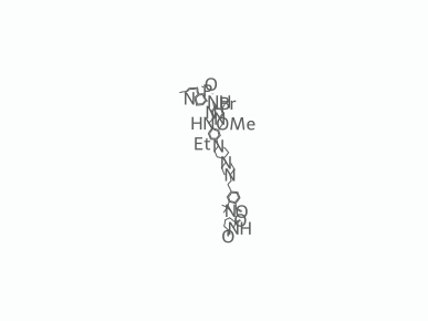 CCc1cc(Nc2ncc(Br)c(Nc3ccc4nc(C)ccc4c3P(C)(C)=O)n2)c(OC)cc1N1CCC(N2CCN(CCc3ccc4c(c3)C(C)(C)N(C3CCC(=O)NC3=O)C4=O)CC2)CC1